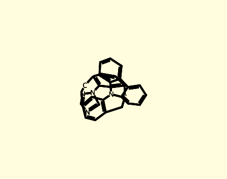 c1ccc2c(c1)c1ccccc1n2-c1cc2ccc1CCc1ccc(c(-n3cncn3)c1)CC2